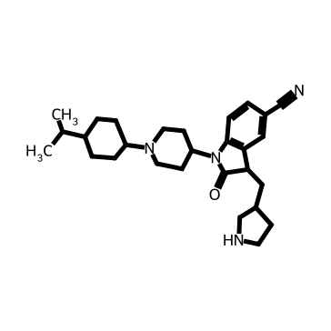 CC(C)C1CCC(N2CCC(N3C(=O)C(CC4CCNC4)c4cc(C#N)ccc43)CC2)CC1